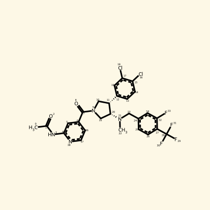 CC(=O)Nc1cc(C(=O)N2C[C@H](c3ccc(Cl)c(Cl)c3)[C@H](N(C)Cc3ccc(C(F)(F)F)c(F)c3)C2)ccn1